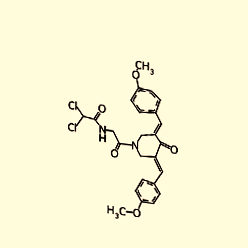 COc1ccc(/C=C2\CN(C(=O)CNC(=O)C(Cl)Cl)C/C(=C\c3ccc(OC)cc3)C2=O)cc1